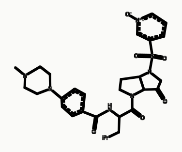 CC(C)CC(NC(=O)c1ccc(N2CCN(C)CC2)cc1)C(=O)N1CCC2C1C(=O)CN2S(=O)(=O)c1ccc[n+]([O-])c1